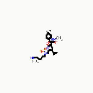 CNC(=O)c1c(-c2ccc(C)cc2)oc2nc(CN(CCCC(C)CC#N)[SH](=O)=O)c(C3CC3)cc12